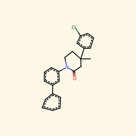 CC1(c2cccc(Cl)c2)CCN(c2cccc(-c3ccccc3)c2)C(=O)C1